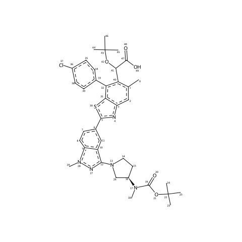 Cc1cc2nc(-c3ccc4c(c3)c(N3CC[C@@H](N(C)C(=O)OC(C)(C)C)C3)nn4C)sc2c(-c2ccc(Cl)cc2)c1C(OC(C)(C)C)C(=O)O